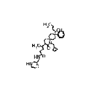 CCCC(C)[C@]1(c2ccccc2)CC[C@@]2(CCC(C(C)CCC(=O)NCC3=CNC=CO3)C(=O)N2CC2CCC2)CC1